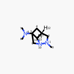 CN1C[C@H]2CC3(N(C)C)CN1[C@@H]23